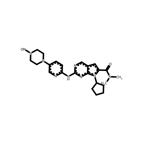 CN(C)C(=O)c1cc2cnc(Nc3ccc(N4CCN(N=O)CC4)cn3)nc2n1C1CCCC1